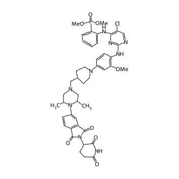 COc1cc(N2CCC(CN3CC(C)N(c4ccc5c(c4)C(=O)N(C4CCC(=O)NC4=O)C5=O)C(C)C3)CC2)ccc1Nc1ncc(Cl)c(Nc2ccccc2P(=O)(OC)OC)n1